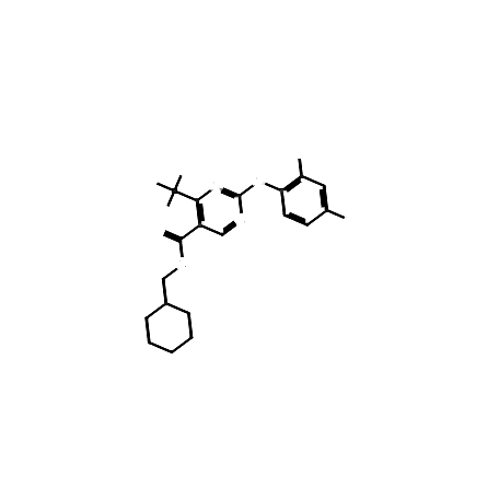 O=C(NCC1CCCCC1)c1cnc(Nc2ccc(F)cc2F)nc1C(F)(F)F